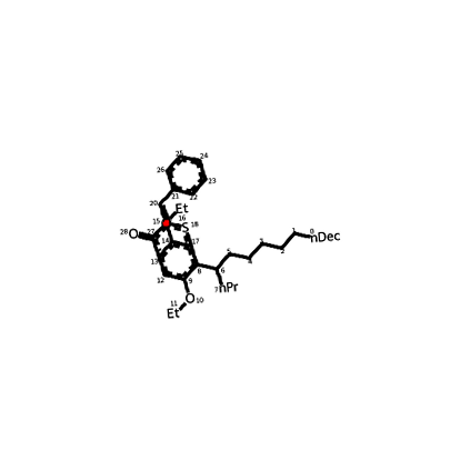 CCCCCCCCCCCCCCCC(CCC)c1c(OCC)cc2c(OCC)c1sc(=Cc1ccccc1)c2=O